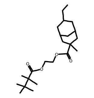 CCC1CC2CC(C1)CC(C)(C(=O)OCCOC(=O)C(C)(C)C(C)(C)C)C2